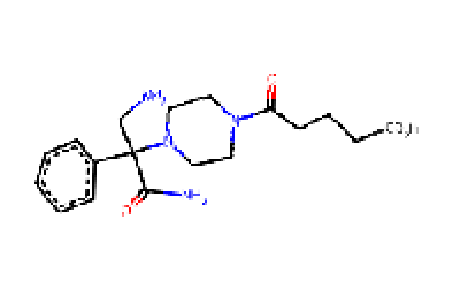 NCC(C(N)=O)(c1ccccc1)N1CCN(C(=O)CCCC(=O)O)CC1